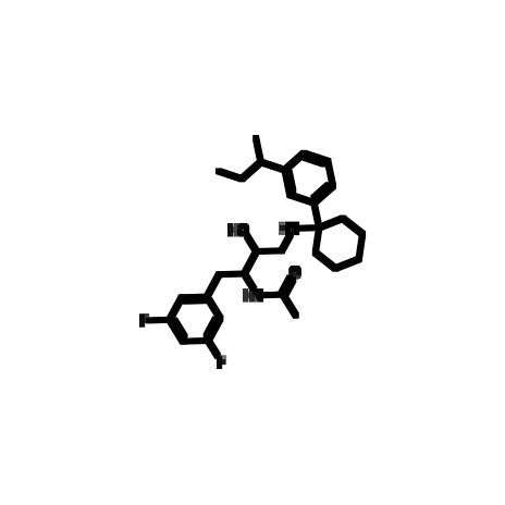 CCC(C)c1cccc(C2(NCC(O)C(Cc3cc(F)cc(F)c3)NC(C)=O)CCCCC2)c1